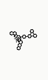 c1ccc2cc3c(ccc4c3nc3c5sc6c7ccccc7ccc6c5cc(-c5ccc(-c6ccc7c8ccccc8c8ccccc8c7c6)cc5)n43)cc2c1